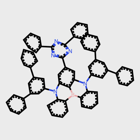 c1ccc(-c2cc(-c3ccccc3)cc(N3c4ccccc4B4c5ccccc5N(c5cc(-c6ccccc6)cc(-c6ccccc6)c5)c5cc(-c6nc(-c7ccccc7)nc(-c7ccccc7)n6)cc3c54)c2)cc1